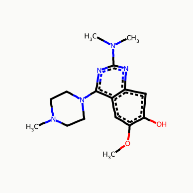 COc1cc2c(N3CCN(C)CC3)nc(N(C)C)nc2cc1O